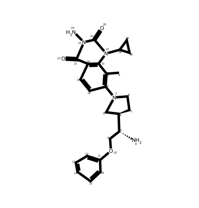 Cc1c(N2CC[C@@H]([C@H](N)COc3ccccc3)C2)ccc2c(=O)n(N)c(=O)n(C3CC3)c12